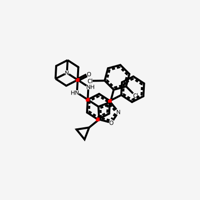 O=C(Nc1cccc(-c2ccccc2)c1)N1C2CC(NCc3c(-c4c(Cl)cccc4Cl)noc3C3CC3)CC1C2